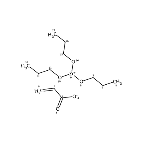 C=CC(=O)[O-].CCC[O][Zr+]([O]CCC)[O]CCC